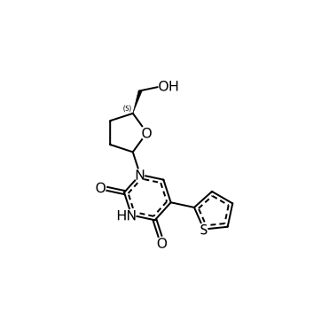 O=c1[nH]c(=O)n(C2CC[C@@H](CO)O2)cc1-c1cccs1